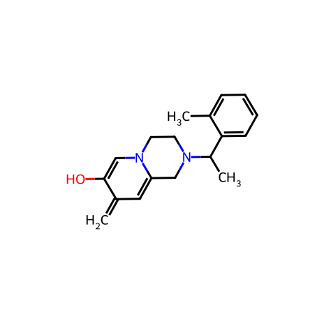 C=C1C=C2CN(C(C)c3ccccc3C)CCN2C=C1O